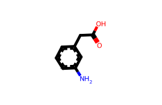 Nc1[c]ccc(CC(=O)O)c1